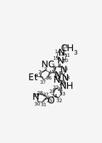 CCc1ccc(-c2c(C#N)c(N3CCN(C)CC3)nc3nc(Nc4ccc(Oc5ccncc5)cc4)nn23)cc1